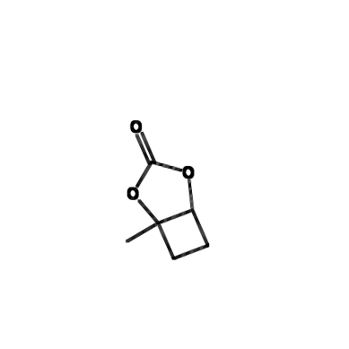 CC12CCC1OC(=O)O2